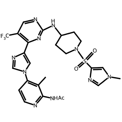 CC(=O)Nc1nccc(-n2cnc(-c3nc(NC4CCN(S(=O)(=O)c5cn(C)cn5)CC4)ncc3C(F)(F)F)c2)c1C